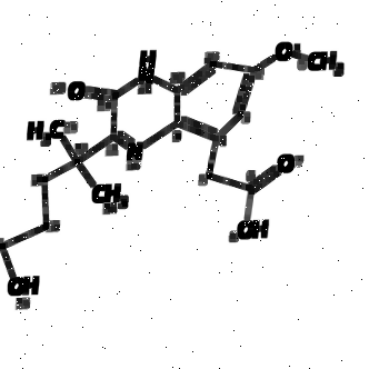 COc1cc(CC(=O)O)c2nc(C(C)(C)CCCO)c(=O)[nH]c2c1